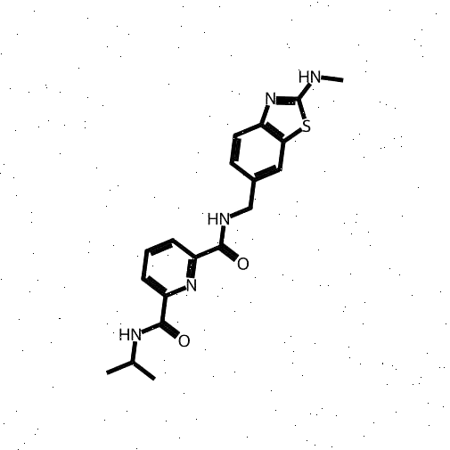 CNc1nc2ccc(CNC(=O)c3cccc(C(=O)NC(C)C)n3)cc2s1